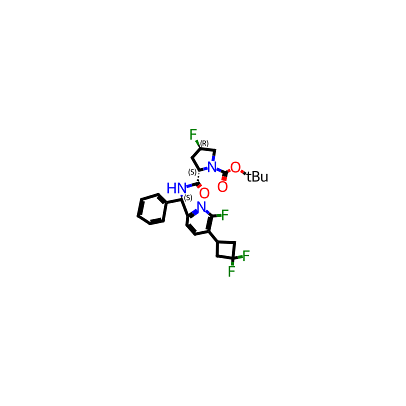 CC(C)(C)OC(=O)N1C[C@H](F)C[C@H]1C(=O)N[C@@H](c1ccccc1)c1ccc(C2CC(F)(F)C2)c(F)n1